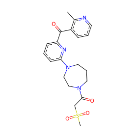 Cc1ncccc1C(=O)c1cccc(N2CCCN(C(=O)CS(C)(=O)=O)CC2)n1